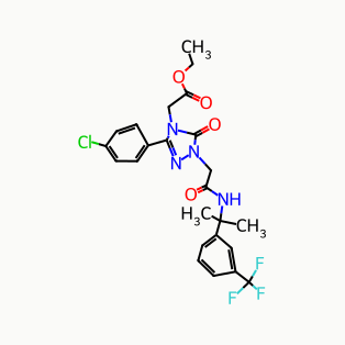 CCOC(=O)Cn1c(-c2ccc(Cl)cc2)nn(CC(=O)NC(C)(C)c2cccc(C(F)(F)F)c2)c1=O